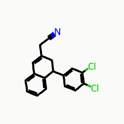 N#CCC1=Cc2ccccc2C(c2ccc(Cl)c(Cl)c2)C1